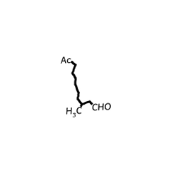 CC(=O)CCCCCCC(C)CC=O